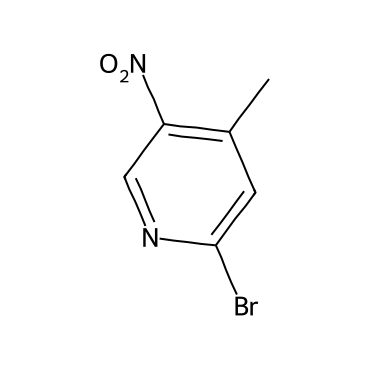 Cc1cc(Br)ncc1[N+](=O)[O-]